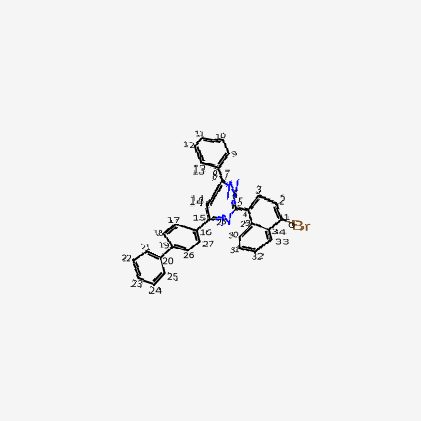 Brc1ccc(-c2nc(-c3ccccc3)cc(-c3ccc(-c4ccccc4)cc3)n2)c2ccccc12